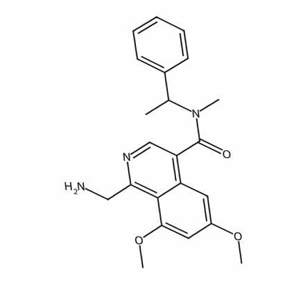 COc1cc(OC)c2c(CN)ncc(C(=O)N(C)C(C)c3ccccc3)c2c1